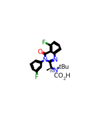 C[C@@H](c1nc2cccc(F)c2c(=O)n1-c1cccc(F)c1)N(C(=O)O)C(C)(C)C